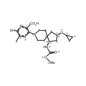 CCc1nc(C(=O)O)c(N2CCC3(CC2)C[C@@H](OC2CC2)C[C@H]3NC(=O)OC(C)(C)C)nc1C